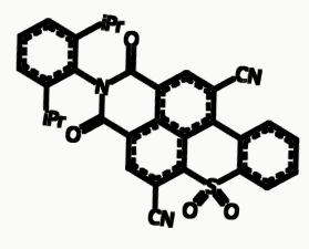 CC(C)c1cccc(C(C)C)c1N1C(=O)c2cc(C#N)c3c4c(c(C#N)cc(c24)C1=O)S(=O)(=O)c1ccccc1-3